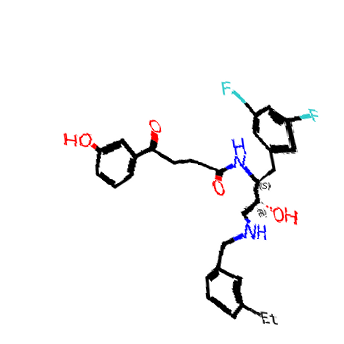 CCc1cccc(CNC[C@@H](O)[C@H](Cc2cc(F)cc(F)c2)NC(=O)CCC(=O)c2cccc(O)c2)c1